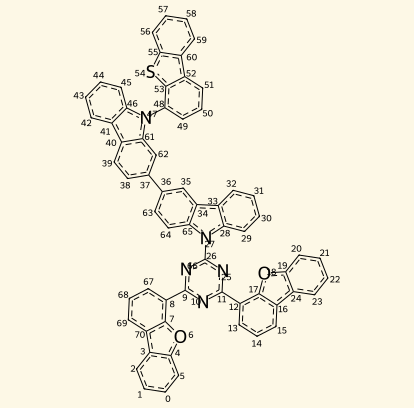 c1ccc2c(c1)oc1c(-c3nc(-c4cccc5c4oc4ccccc45)nc(-n4c5ccccc5c5cc(-c6ccc7c8ccccc8n(-c8cccc9c8sc8ccccc89)c7c6)ccc54)n3)cccc12